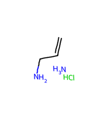 C=CCN.Cl.N